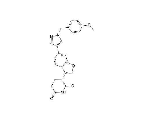 COc1ccc(Cn2cc(-c3ccc4c(C5CCC(=O)NC5=O)coc4c3)cn2)cc1